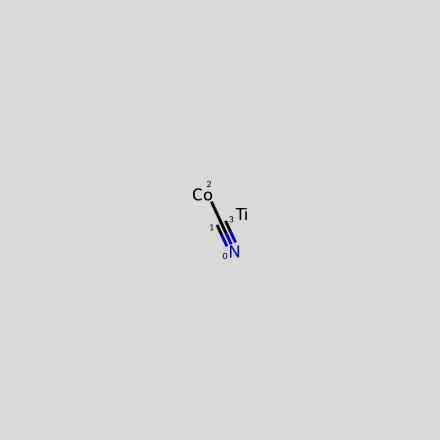 N#[C][Co].[Ti]